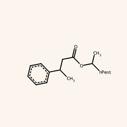 CCCCCC(C)OC(=O)CC(C)c1ccccc1